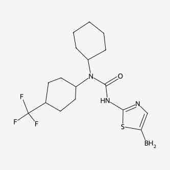 Bc1cnc(NC(=O)N(C2CCCCC2)C2CCC(C(F)(F)F)CC2)s1